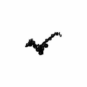 CCOc1ccc(C(=O)N2CCN(c3ccc(-c4cccnc4OCC)nc3CN(CCCOCCOCCOCCOCCN)C(=O)OCc3ccccc3)[C@H](CC)C2)c(C(F)(F)F)n1